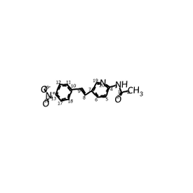 CC(=O)Nc1ccc(C=Cc2ccc([N+](=O)[O-])cc2)cn1